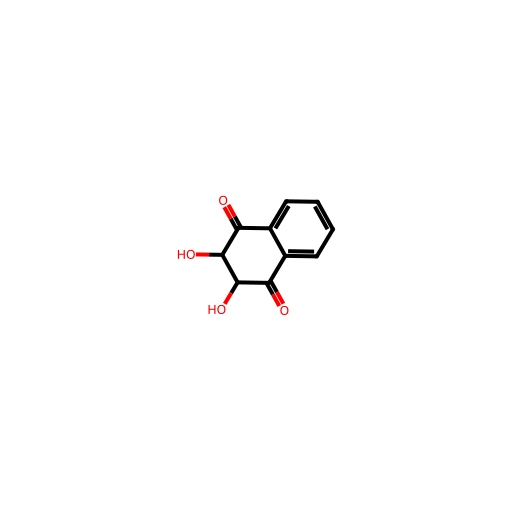 O=C1c2ccccc2C(=O)C(O)C1O